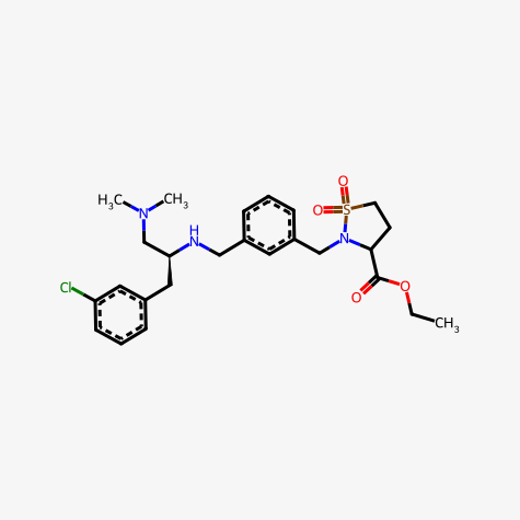 CCOC(=O)C1CCS(=O)(=O)N1Cc1cccc(CN[C@@H](Cc2cccc(Cl)c2)CN(C)C)c1